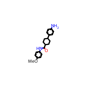 COc1ccc(NC(=O)C2CCC(c3ccc(N)cc3)CC2)cc1